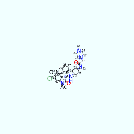 CC(=O)N1C(=O)/C(=C(\Nc2ccc(N(C)C(=O)CN3CCN(C)CC3)cc2)c2ccccc2)c2cc([N+](=O)[O-])c(Cl)cc21